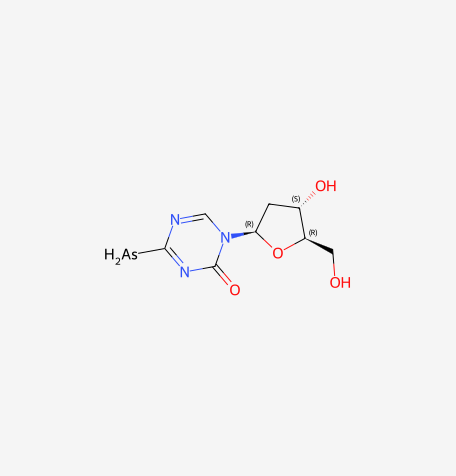 O=c1nc([AsH2])ncn1[C@H]1C[C@H](O)[C@@H](CO)O1